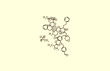 CC(C)CC(NC(=O)C(CCc1ccccc1)NC(=O)C[N+]1(Cc2ccc(OC(=O)C(C)C)c(OCc3ccc(C=O)cc3)c2)CCOCC1)C(=O)NC(Cc1ccccc1)C(=O)NC(CC(C)C)C(=O)[C@@]1(C)CO1.CS(=O)(=O)[O-]